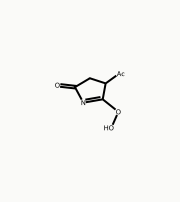 CC(=O)C1CC(=O)N=C1OO